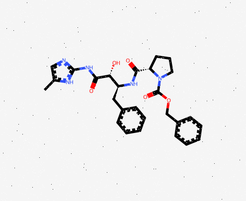 Cc1cnc(NC(=O)[C@H](O)[C@H](Cc2ccccc2)NC(=O)[C@@H]2CCCN2C(=O)OCc2ccccc2)[nH]1